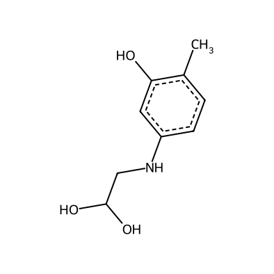 Cc1ccc(NCC(O)O)cc1O